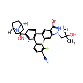 CC(C)(O)Cn1nc(Br)c2cc(-c3ccc(C(=O)N4[C@@H]5CC[C@H]4C[C@@H](N)C5)cc3-c3ccc(C#N)c(F)c3)c(F)cc21